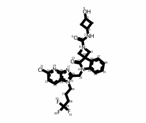 O=C(NC1CC(O)C1)N1CC2(C1)C(=O)N(Cc1nc3nc(Cl)ccc3n1CCCC(F)(F)F)c1ccccc12